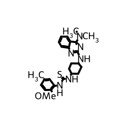 COc1ccc(C)cc1NC(=S)NC1CCC(Nc2nc(N(C)C)c3ccccc3n2)CC1